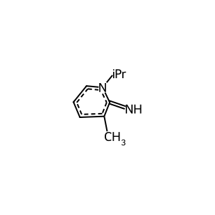 Cc1cccn(C(C)C)c1=N